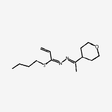 C=C/C(=N\N=C(/C)C1CCOCC1)SCCCC